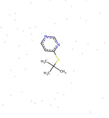 CC(C)(C)Sc1ccncn1